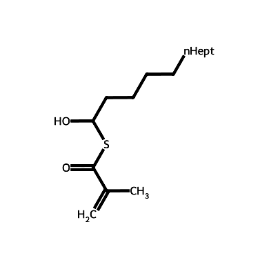 C=C(C)C(=O)SC(O)CCCCCCCCCCC